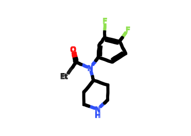 CCC(=O)N(c1ccc(F)c(F)c1)C1CCNCC1